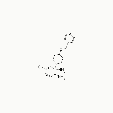 NC1C=NC(Cl)=CC1(N)C1CCC(OCc2ccccc2)CC1